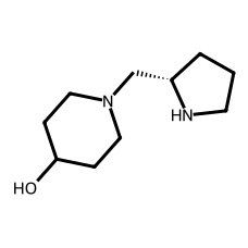 OC1CCN(C[C@@H]2CCCN2)CC1